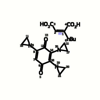 CCCC/C(=C/C(=O)O)C(=O)O.O=C1C=C(N2CC2)C(=O)C(N2CC2)=C1N1CC1